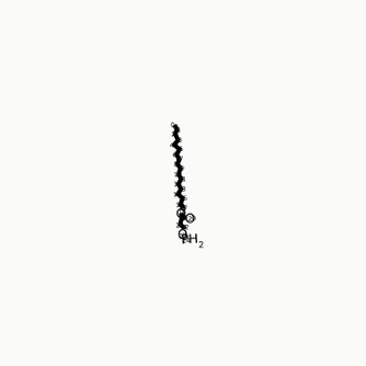 CCCCCCCCCCCCCCCCC=COC(=O)CCOP